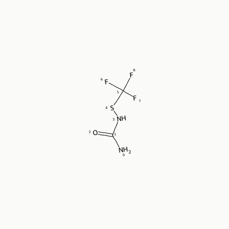 NC(=O)NSC(F)(F)F